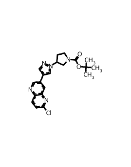 CC(C)(C)OC(=O)N1CCC(n2cc(-c3cnc4ccc(Cl)nc4c3)cn2)C1